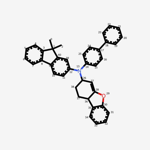 CC1(C)c2ccccc2-c2ccc(N(c3ccc(-c4ccccc4)cc3)C3C=C4Oc5ccccc5C4CC3)cc21